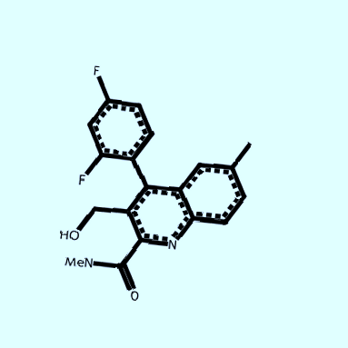 CNC(=O)c1nc2ccc(C)cc2c(-c2ccc(F)cc2F)c1CO